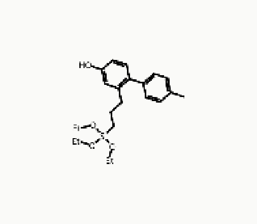 CCO[Si](CCCc1cc(O)ccc1-c1ccc(C)cc1)(OCC)OCC